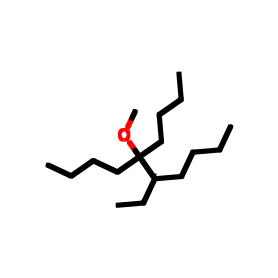 CCCC[C](CC)C(CCCC)(CCCC)OC